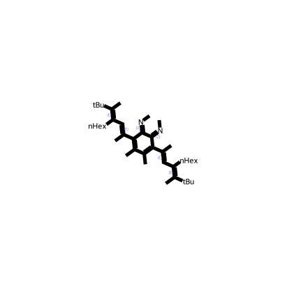 CCCCCCC(/C=C(\C)C1=C(C)C(C)=C(/C(C)=C/C(CCCCCC)=C(\C)C(C)(C)C)C(=N/C)/C1=N\C)=C(/C)C(C)(C)C